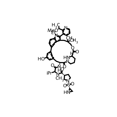 CCn1c(-c2cccnc2[C@H](C)OC)c2c3cc(ccc31)-c1cc(O)cc(c1)C[C@H](NC(=O)C(C(C)C)N(C)C(=O)[C@H]1CCN(S(=O)(=O)[C@@H]3CN3)C1)C(=O)N1CCC[C@H](N1)C(=O)OCC(C)(C)C2